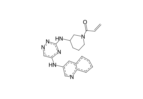 C=CC(=O)N1CCCC(Nc2nncc(Nc3cnc4ccccc4c3)n2)C1